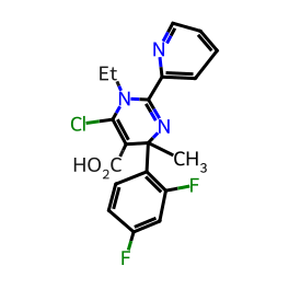 CCN1C(c2ccccn2)=NC(C)(c2ccc(F)cc2F)C(C(=O)O)=C1Cl